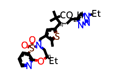 CC[C@@H]1CN(Cc2cc([C@@H](CCc3cn(CC)nn3)C(C)(C)C(=O)O)sc2C)S(=O)(=O)c2cccnc2O1